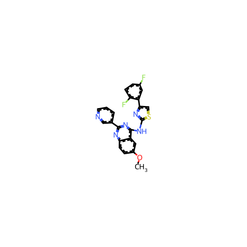 COc1ccc2nc(-c3cccnc3)nc(Nc3nc(-c4cc(F)ccc4F)cs3)c2c1